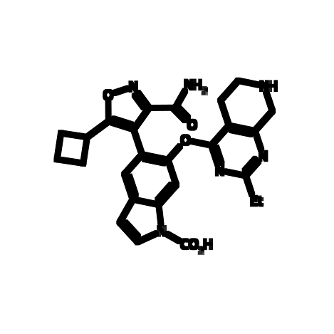 CCc1nc2c(c(Oc3cc4c(ccn4C(=O)O)cc3-c3c(C(N)=O)noc3C3CCC3)n1)CCNC2